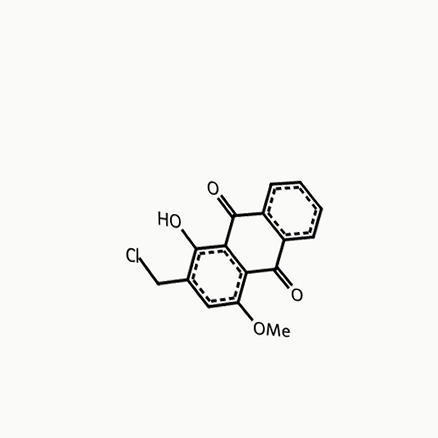 COc1cc(CCl)c(O)c2c1C(=O)c1ccccc1C2=O